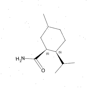 CC1CC[C@@H](C(C)C)[C@@H](C(N)=O)C1